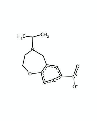 CC(C)N1CCOc2ccc([N+](=O)[O-])cc2C1